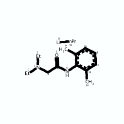 CCN(CC)CC(=O)Nc1c(C)cccc1C.[Li][CH2]CC